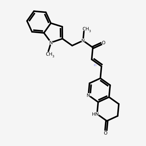 CN(Cc1cc2ccccc2n1C)C(=O)/C=C/c1cnc2c(c1)CCC(=O)N2